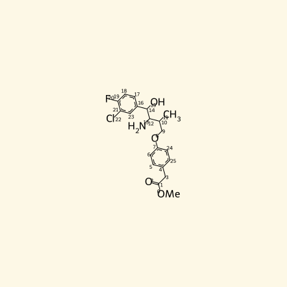 COC(=O)Cc1ccc(OCC(C)C(N)C(O)c2ccc(F)c(Cl)c2)cc1